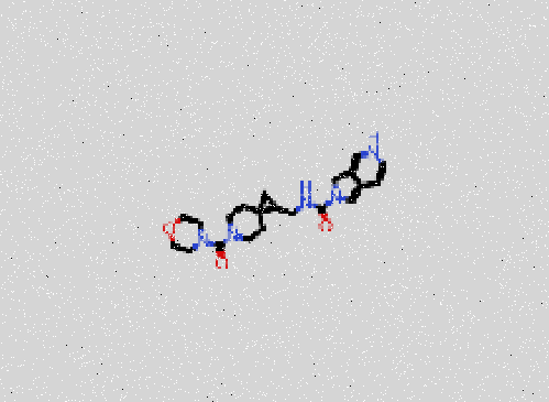 O=C(NCC1CC12CCN(C(=O)N1CCOCC1)CC2)N1C=C2C=CNC=C2C1